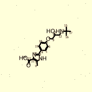 Cc1[nH]c(-c2ccc(OCC(O)CNC(C)(C)C)cc2)nc1C(=O)O